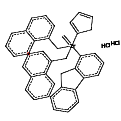 Cl.Cl.[CH2]=[Zr]([CH2]c1cccc2ccccc12)([CH2]c1cccc2ccccc12)([C]1=CC=CC1)[c]1cccc2c1Cc1ccccc1-2